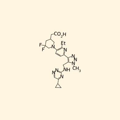 CCc1nc(-c2nnn(C)c2CNc2nncc(C3CC3)n2)ccc1N1CC(CC(=O)O)CC(F)(F)C1